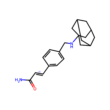 NC(=O)/C=C/c1ccc(CNC23CC4CC(CC(C4)C2)C3)cc1